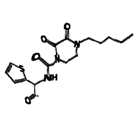 CCCCCN1CCN(C(=O)NC([C]=O)c2cccs2)C(=O)C1=O